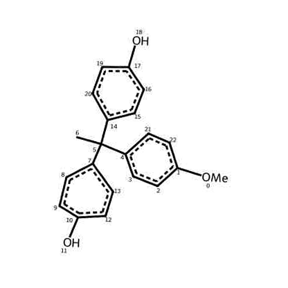 COc1ccc(C(C)(c2ccc(O)cc2)c2ccc(O)cc2)cc1